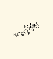 N#C[C@H](Cc1ccc(C(=N)/C=C\N)cc1F)NC(=O)[C@H]1N[C@@H]2CCC1C2